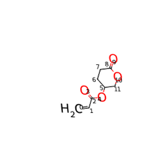 C=CC(=O)OC1CCC(=O)OC1